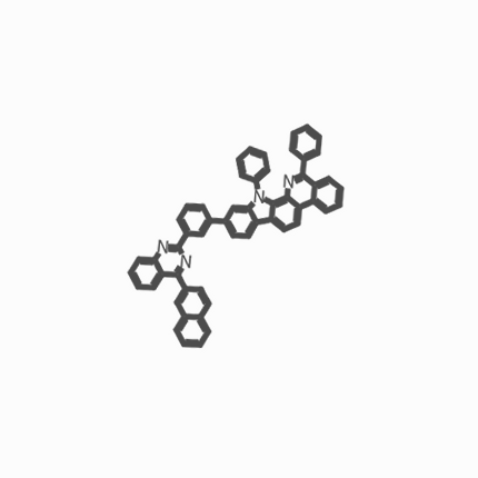 c1ccc(-c2nc3c(ccc4c5ccc(-c6cccc(-c7nc(-c8ccc9ccccc9c8)c8ccccc8n7)c6)cc5n(-c5ccccc5)c43)c3ccccc23)cc1